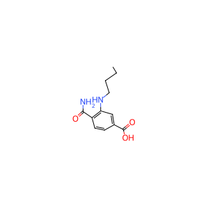 CCCCNc1cc(C(=O)O)ccc1C(N)=O